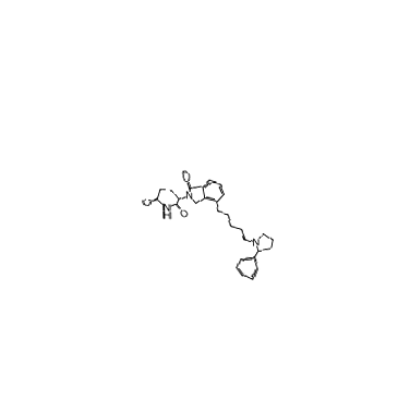 O=C1CCC(N2Cc3c(CCCCCN4CCCC4c4ccccc4)cccc3C2=O)C(=O)N1